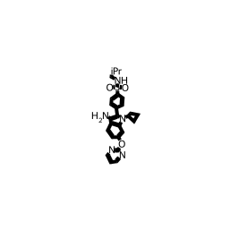 CC(C)CNS(=O)(=O)c1ccc(-c2c(N)c3ccc(Oc4ncccn4)cc3n2C2CCC2)cc1